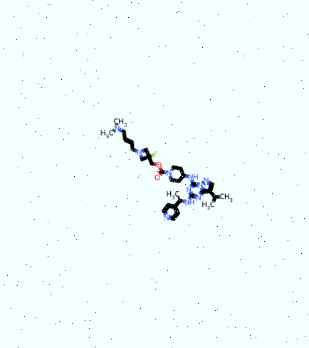 CC(C)c1cnn2c(NC3CCN(C(=O)OCC4(F)CN(C/C=C/CN(C)C)C4)CC3)nc(N[C@H](C)c3ccncc3)nc12